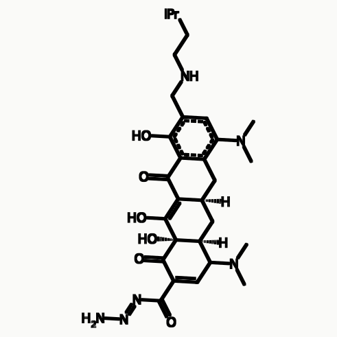 CC(C)CCNCc1cc(N(C)C)c2c(c1O)C(=O)C1=C(O)[C@]3(O)C(=O)C(C(=O)N=NN)=CC(N(C)C)[C@@H]3C[C@@H]1C2